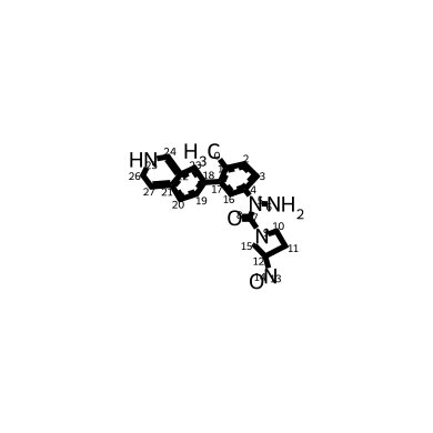 Cc1ccc(N(N)C(=O)N2CCC(N=O)C2)cc1-c1ccc2c(c1)=CNCC=2